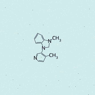 Cc1ccncc1N1CN(C)c2ccccc21